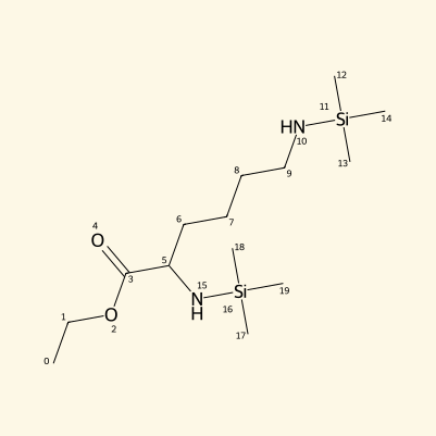 CCOC(=O)C(CCCCN[Si](C)(C)C)N[Si](C)(C)C